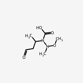 CON(C)N(C(=O)O)C(C)CC=O